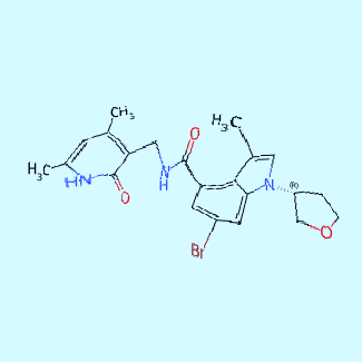 Cc1cc(C)c(CNC(=O)c2cc(Br)cc3c2c(C)cn3[C@@H]2CCOC2)c(=O)[nH]1